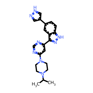 CC(C)N1CCN(c2cc(-c3n[nH]c4ccc(-c5cn[nH]c5)cc34)ncn2)CC1